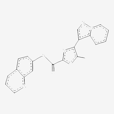 O=C(Nc1ccc2cccnc2c1)c1nc(-c2cnn3ccccc23)c(Cl)s1